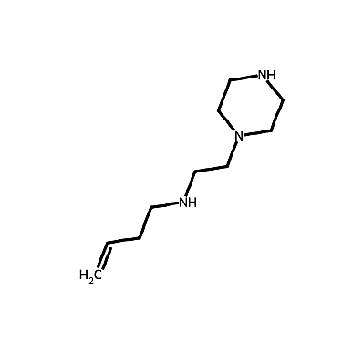 C=CCCNCCN1CCNCC1